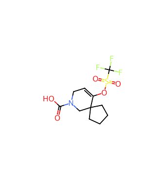 O=C(O)N1CC=C(OS(=O)(=O)C(F)(F)F)C2(CCCC2)C1